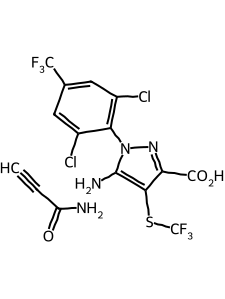 C#CC(N)=O.Nc1c(SC(F)(F)F)c(C(=O)O)nn1-c1c(Cl)cc(C(F)(F)F)cc1Cl